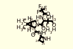 CC(C)(CO)[C@H](NC(=O)C(F)(F)F)C(=O)N1C[C@H]2[C@@H]([C@H]1C(=O)NC1CCN1)C2(C)C